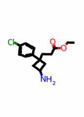 CCOC(=O)CCC1(c2ccc(Cl)cc2)CC(N)C1